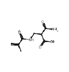 C=C(C)C(=O)NCC(C(N)=O)C(=O)O